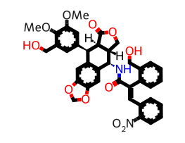 COc1cc([C@@H]2c3cc4c(cc3[C@@H](NC(=O)/C(=C/c3ccccc3[N+](=O)[O-])c3ccccc3CO)[C@H]3COC(=O)[C@H]23)OCO4)cc(CO)c1OC